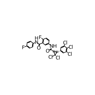 O=C(Nc1ccc(F)cc1)c1cc(NC(=O)[C@H]2[C@H](c3cc(Cl)c(Cl)c(Cl)c3)C2(Cl)Cl)ccc1F